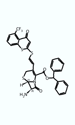 N[C@@H]1C(=O)N2C(C(=O)OC(c3ccccc3)c3ccccc3)=C(C=CSc3cc(=O)c4c(C(F)(F)F)cccc4s3)CS[C@@H]12